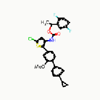 COc1cc(-c2sc(Cl)cc2NC(=O)OC(C)c2cc(F)ccc2F)ccc1-c1ccc(C2CC2)cc1